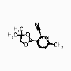 Cc1ccc(B2OCC(C)(C)O2)c(C#N)n1